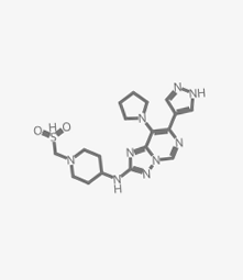 O=[SH](=O)CN1CCC(Nc2nc3c(N4CCCC4)c(-c4cn[nH]c4)ncn3n2)CC1